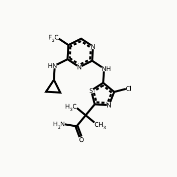 CC(C)(C(N)=O)c1nc(Cl)c(Nc2ncc(C(F)(F)F)c(NC3CC3)n2)s1